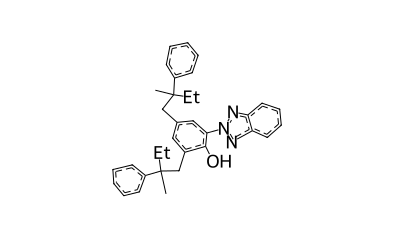 CCC(C)(Cc1cc(CC(C)(CC)c2ccccc2)c(O)c(-n2nc3ccccc3n2)c1)c1ccccc1